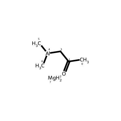 CC(=O)[CH2][Al]([CH3])[CH3].[MgH2]